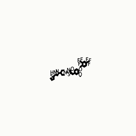 COc1cc(/C=C2/SC(N3CCC(c4cc(-c5cccs5)[nH]n4)CC3)=NC2=O)ccc1OCc1ccc(C(F)(F)F)cc1C(F)(F)F